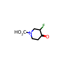 O=C1CCN(C(=O)O)CC1F